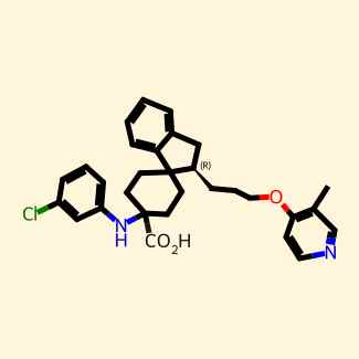 Cc1cnccc1OCCC[C@@H]1Cc2ccccc2C12CCC(Nc1cccc(Cl)c1)(C(=O)O)CC2